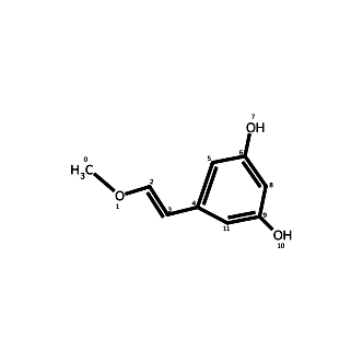 COC=Cc1cc(O)cc(O)c1